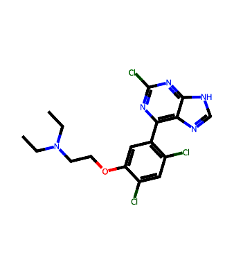 CCN(CC)CCOc1cc(-c2nc(Cl)nc3[nH]cnc23)c(Cl)cc1Cl